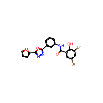 O=C(Nc1cccc(-c2nnc(-c3ccco3)o2)c1)c1cc(Br)cc(Br)c1O